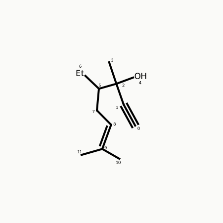 C#CC(C)(O)C(CC)CC=C(C)C